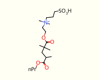 CCCOC(=O)C(C)CC(C)(C)C(=O)OCC[N+](C)(C)CCCS(=O)(=O)O